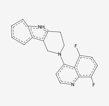 Fc1ccc(F)c2c(N3CCc4[nH]c5ccccc5c4C3)ccnc12